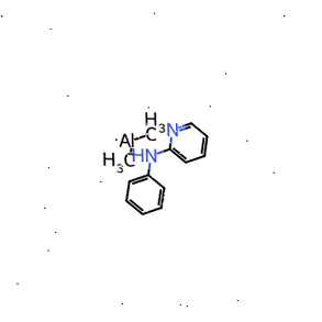 [CH3][Al][CH3].c1ccc(Nc2ccccn2)cc1